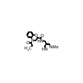 C=CC(=O)N1CC(C(=O)NC/C(C=N)=C/NC)Oc2ccccc21